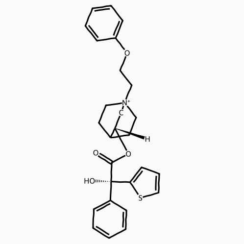 O=C(O[C@H]1C[N+]2(CCOc3ccccc3)CCC1CC2)[C@](O)(c1ccccc1)c1cccs1